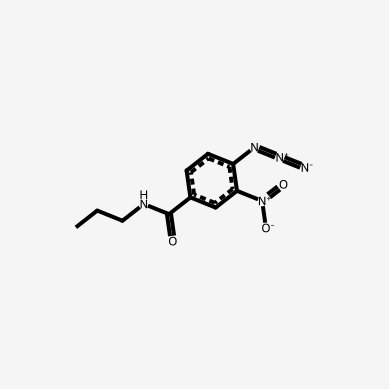 CCCNC(=O)c1ccc(N=[N+]=[N-])c([N+](=O)[O-])c1